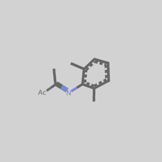 CC(=O)C(C)=Nc1c(C)cccc1C